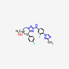 Cc1ncn(-c2ccc(Nc3nc4n(n3)CC[C@@](C)(O)C[C@@H]4c3ccc(F)cc3)cc2F)n1